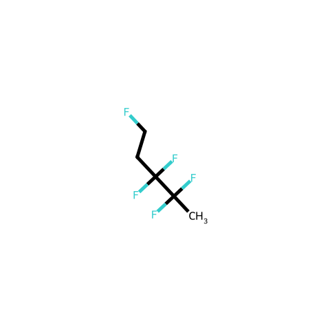 CC(F)(F)C(F)(F)CCF